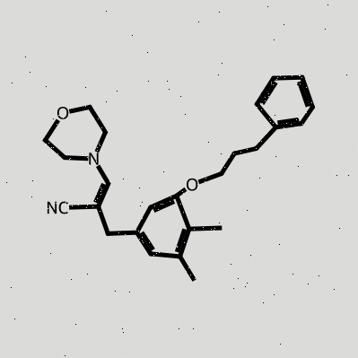 Cc1cc(CC(C#N)=CN2CCOCC2)cc(OCCCc2ccccc2)c1C